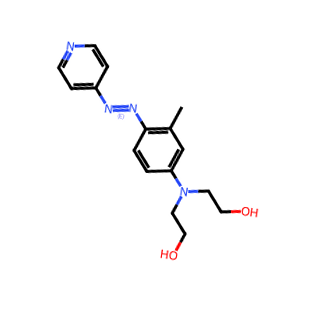 Cc1cc(N(CCO)CCO)ccc1/N=N/c1ccncc1